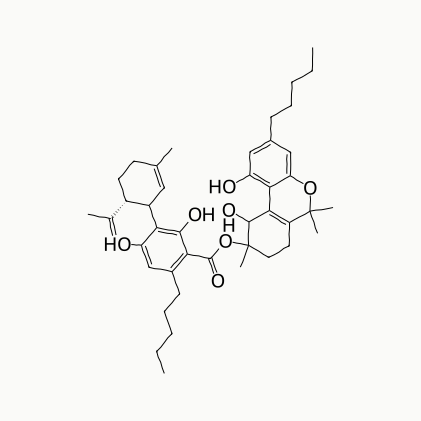 C=C(C)[C@@H]1CCC(C)=CC1c1c(O)cc(CCCCC)c(C(=O)OC2(C)CCC3=C(c4c(O)cc(CCCCC)cc4OC3(C)C)C2O)c1O